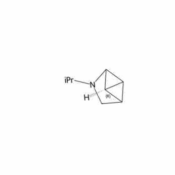 CC(C)N1CC2C3C1[C@H]23